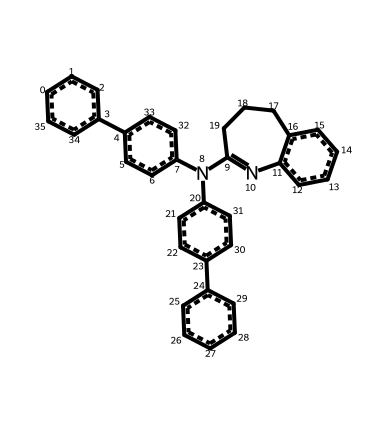 c1ccc(-c2ccc(N(C3=Nc4ccccc4CCC3)c3ccc(-c4ccccc4)cc3)cc2)cc1